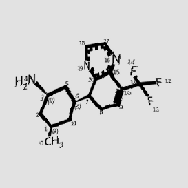 C[C@H]1C[C@@H](N)C[C@@H](C2CC=C(C(F)(F)F)c3nccnc32)C1